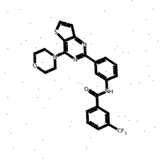 O=C(Nc1cccc(-c2nc(N3CCOCC3)c3sccc3n2)c1)c1cccc(C(F)(F)F)c1